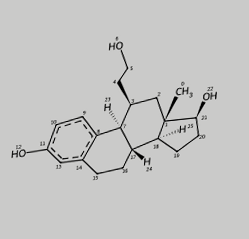 C[C@]12C[C@H](CCO)[C@@H]3c4ccc(O)cc4CC[C@H]3[C@@H]1CC[C@@H]2O